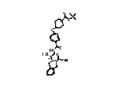 CC(C)(C)OC(=O)N1CCC(Oc2ccc(C(=O)NC[C@@H](O)C3Cc4ccccc4CN3C(=O)O)cn2)CC1